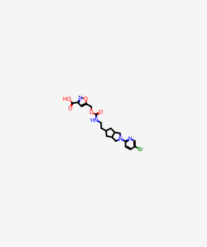 O=C(NCCC1CC2CN(c3ccc(Br)cn3)CC2C1)OCc1cc(C(=O)O)no1